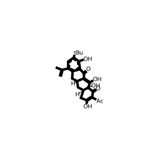 C=C(C)c1cc(C(C)(C)C)c(O)c2c1C[C@@H]1C[C@@H]3CC(O)=C(C(C)=O)C(=O)[C@]3(O)C(O)=C1C2=O